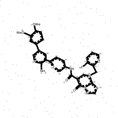 COc1ccc(-c2cnc(N)c(-c3ccc(NC(=O)c4cn(Cc5ncccc5F)c5ncnn5c4=O)cc3)c2)cc1OC